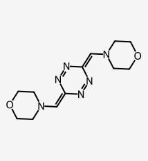 C(=c1nnc(=CN2CCOCC2)nn1)N1CCOCC1